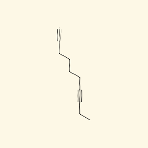 [C]#CCCCCC#CCC